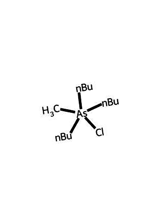 CCCC[As](C)(Cl)(CCCC)CCCC